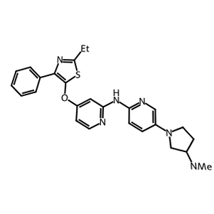 CCc1nc(-c2ccccc2)c(Oc2ccnc(Nc3ccc(N4CCC(NC)C4)cn3)c2)s1